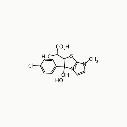 CC(C(=O)O)C1Sc2n(C)cc[n+]2C1(O)c1ccc(Cl)cc1.[OH-]